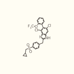 O=S(=O)(CC1CC1)c1ccc(Cc2nc3c(Cl)c(-c4ccccc4OC(F)(F)F)c(Cl)cc3[nH]2)cc1